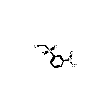 O=[N+]([O-])c1cccc(S(=O)(=O)CCl)c1